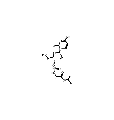 CC(C)OC(=O)[C@H](C)N[PH](=O)OC[C@@H](O[C@H](CF)n1ccc(N)nc1=O)[C@H](C)O